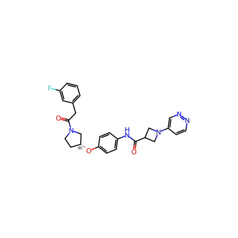 O=C(Nc1ccc(O[C@@H]2CCN(C(=O)Cc3cccc(F)c3)C2)cc1)C1CN(c2ccnnc2)C1